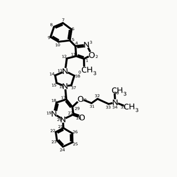 Cc1onc(-c2ccccc2)c1CN1CCN(c2cnn(-c3ccccc3)c(=O)c2OCCCN(C)C)CC1